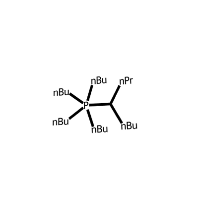 CCCCC(CCC)P(CCCC)(CCCC)(CCCC)CCCC